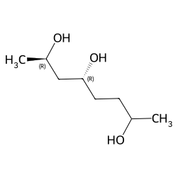 CC(O)CC[C@@H](O)C[C@@H](C)O